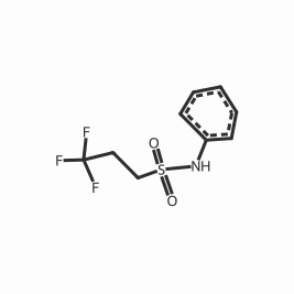 O=S(=O)(CCC(F)(F)F)Nc1ccccc1